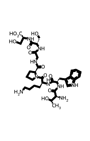 C[C@@H](O)[C@H](N)C(=O)N[C@@H](Cc1c[nH]c2ccccc12)C(=O)N[C@@H](CCCCN)C(=O)N1CCC[C@H]1C(=O)NCC(=O)N[C@@H](CO)C(=O)N[C@@H](CO)C(=O)O